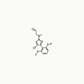 CN(CC=O)n1cc(Cl)c(-c2c(SF)cccc2SF)n1